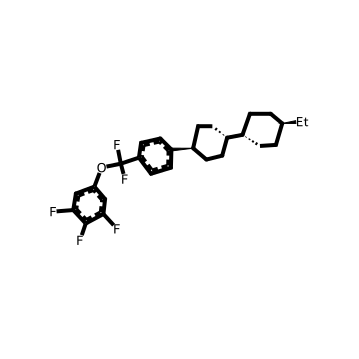 CC[C@H]1CC[C@H]([C@H]2CC[C@H](c3ccc(C(F)(F)Oc4cc(F)c(F)c(F)c4)cc3)CC2)CC1